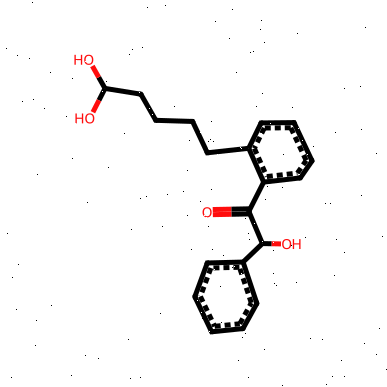 O=C(c1ccccc1CCCCC(O)O)C(O)c1ccccc1